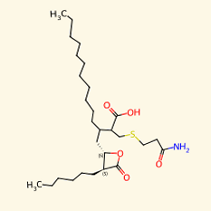 CCCCCCCCCCCC(C[C@@H]1OC(=O)[C@H]1CCCCCC)C(CSCCC(N)=O)C(=O)O